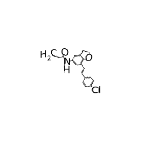 C=CC(=O)Nc1cc(/C=C/c2ccc(Cl)cc2)c2c(c1)CCO2